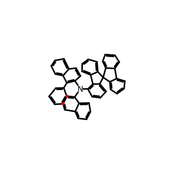 c1ccc(-c2c(N(c3cccc4c3-c3ccccc3C43c4ccccc4-c4ccccc43)c3cccc4ccccc34)ccc3ccccc23)cc1